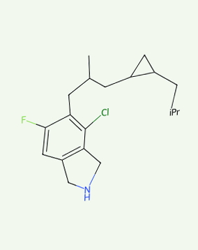 CC(C)CC1CC1CC(C)Cc1c(F)cc2c(c1Cl)CNC2